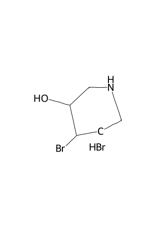 Br.OC1CNCCC1Br